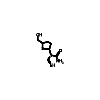 N=CN(C(N)=O)C1CCC(CO)S1